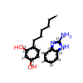 CCCCCCc1ccc(O)cc1O.Nc1nc2ccccc2[nH]1